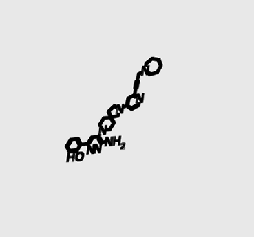 Nc1nnc(-c2ccccc2O)cc1N1CCC2(CCN(c3ccnc(C#CCN4CCCCCC4)c3)C2)CC1